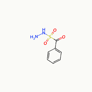 NNS(=O)(=O)C(=O)c1ccccc1